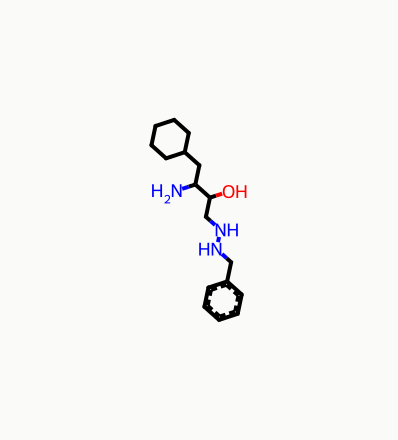 NC(CC1CCCCC1)C(O)CNNCc1ccccc1